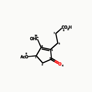 CC(=O)OC1CC(=O)C(CCC(=O)O)=C1C=O